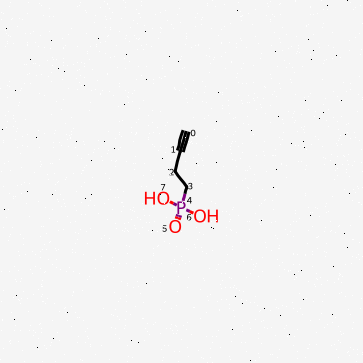 C#CCCP(=O)(O)O